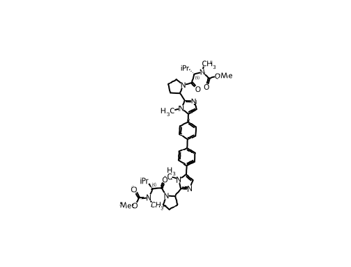 COC(=O)N(C)[C@H](C(=O)N1CCCC1c1ncc(-c2ccc(-c3ccc(-c4cnc(C5CCCN5C(=O)[C@H](C(C)C)N(C)C(=O)OC)n4C)cc3)cc2)n1C)C(C)C